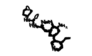 CCc1ccncc1-c1cc(N)c2nnc(NC(=O)N[C@@H]3CCOC3)cc2c1